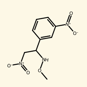 CONC(C[N+](=O)[O-])c1cccc([N+](=O)[O-])c1